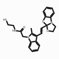 Cc1c(/C=C/C23OCCN2c2ccccc2S3)c2ccccc2n1CC(=O)NCCS